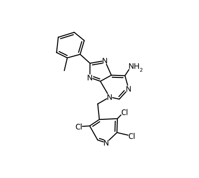 Cc1ccccc1-c1nc2c(N)ncn(Cc3c(Cl)cnc(Cl)c3Cl)c-2n1